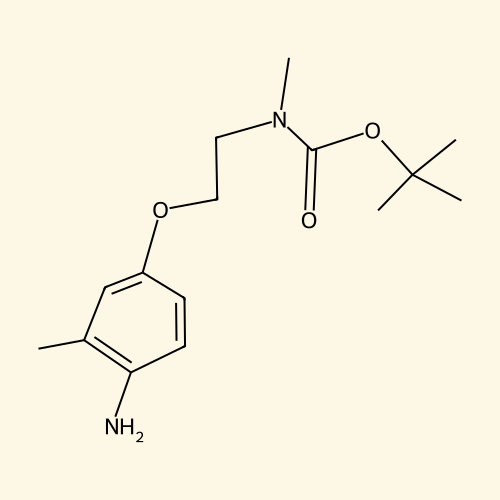 Cc1cc(OCCN(C)C(=O)OC(C)(C)C)ccc1N